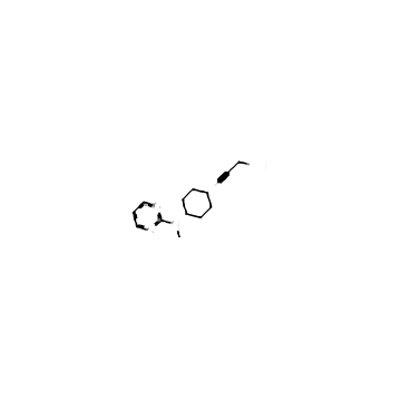 CN(c1ncccn1)[C@H]1CC[C@H](C#CCO)CC1